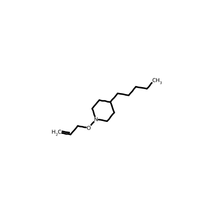 C=CCON1CCC(CCCCC)CC1